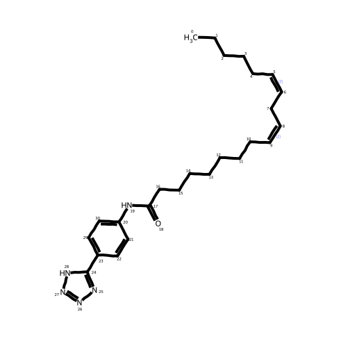 CCCCC/C=C\C/C=C\CCCCCCCC(=O)Nc1ccc(-c2nnn[nH]2)cc1